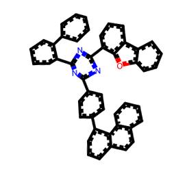 c1ccc(-c2ccccc2-c2nc(-c3ccc(-c4cccc5ccc6ccccc6c45)cc3)nc(-c3cccc4c3oc3ccccc34)n2)cc1